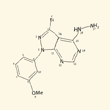 CCc1nn(-c2cccc(OC)c2)c2ncnc(NN)c12